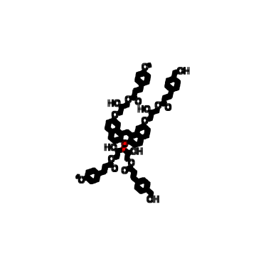 COc1ccc(/C=C/C(=O)OCC(O)COc2ccc3ccc(OCC(O)COC(=O)/C=C/c4ccc(CO)cc4)c(Cc4c(OCC(O)COC(=O)/C=C/c5ccc(OC)cc5)ccc5ccc(OCC(O)COC(=O)/C=C/c6ccc(CO)cc6)cc45)c3c2)cc1